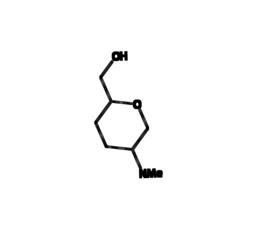 CNC1CCC(CO)OC1